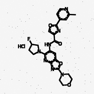 Cc1cc(-c2nc(C(=O)Nc3cc4oc(N5CCOCC5)nc4nc3N3CCC(F)C3)co2)ccn1.Cl